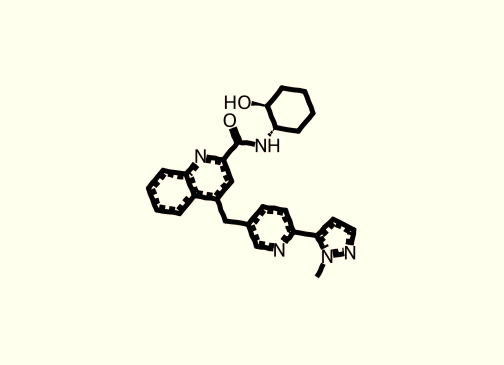 Cn1nccc1-c1ccc(Cc2cc(C(=O)N[C@H]3CCCC[C@@H]3O)nc3ccccc23)cn1